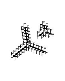 FC(F)(F)C(F)(F)C(F)(F)C(F)(F)C(F)(F)C(F)(F)N(C(F)(F)C(F)(F)C(F)(F)C(F)(F)C(F)(F)C(F)(F)F)C(F)(F)C(F)(F)C(F)(F)C(F)(F)C(F)(F)C(F)(F)F.FC(F)(F)C(F)(F)N(C(F)(F)C(F)(F)F)C(F)(F)C(F)(F)F